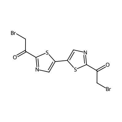 O=C(CBr)c1ncc(-c2cnc(C(=O)CBr)s2)s1